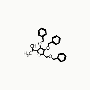 CC(C)[C@@H]1O[C@H](COCc2ccccc2)[C@H](OCc2ccccc2)C1OCc1ccccc1